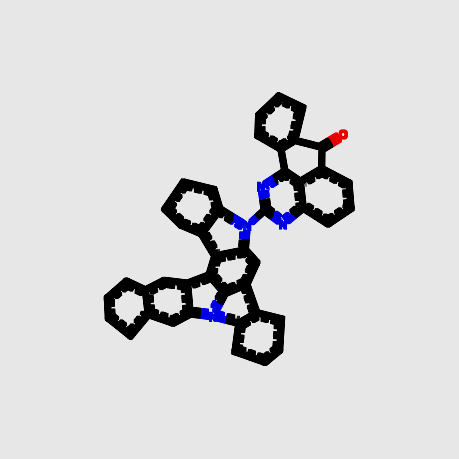 O=C1c2ccccc2-c2nc(-n3c4ccccc4c4c5c6cc7ccccc7cc6n6c7ccccc7c(cc43)c56)nc3cccc1c23